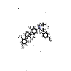 C=Cc1ccc(CN/C(=C\N)c2cc(C)c([N+]3=C(C)N(c4c(C)cc(C)cc4C)CC3)c(C)c2)cc1